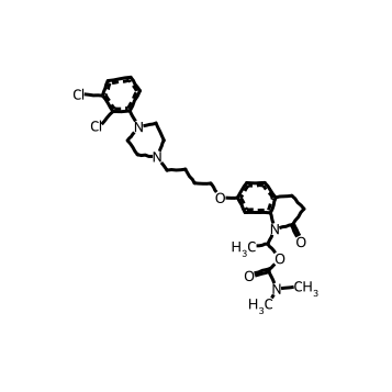 CC(OC(=O)N(C)C)N1C(=O)CCc2ccc(OCCCCN3CCN(c4cccc(Cl)c4Cl)CC3)cc21